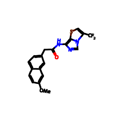 COc1ccc2ccc(CC(=O)Nc3ncn4c(C(F)(F)F)csc34)cc2c1